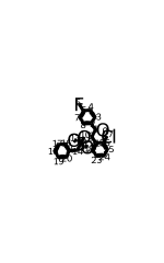 O=C(c1ccc(F)cc1)C(OS(=O)(=O)Cc1ccccc1)c1ccccc1Cl